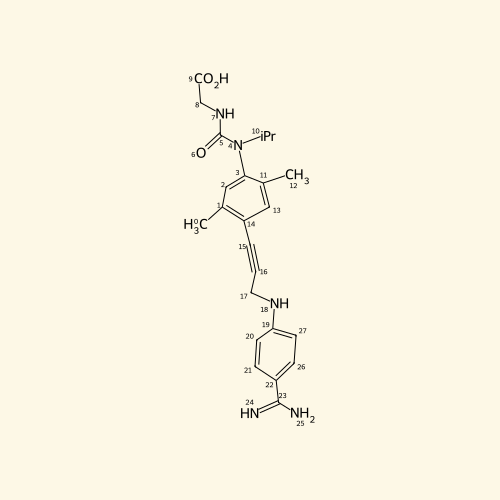 Cc1cc(N(C(=O)NCC(=O)O)C(C)C)c(C)cc1C#CCNc1ccc(C(=N)N)cc1